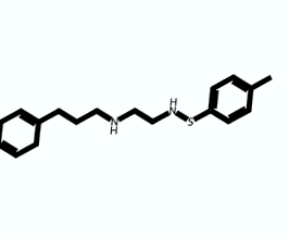 Cc1ccc(SNCCNCCCC2=CCC=CC2)cc1